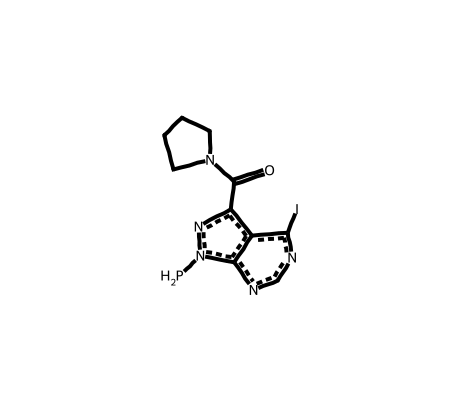 O=C(c1nn(P)c2ncnc(I)c12)N1CCCC1